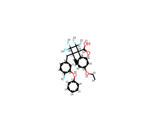 C#CC1(Cc2ccc(F)c(Oc3ccccc3)c2)C(F)(F)C(F)(F)C1(C(=O)O)c1ccc(OCC)cc1